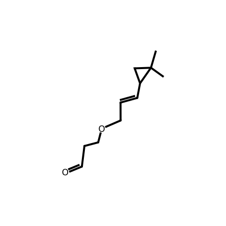 CC1(C)CC1C=CCOCCC=O